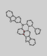 c1ccc(-c2cccc(N(c3ccccc3)c3ccc4c(c3)oc3ccccc34)c2-c2ccc3sc4ccccc4c3c2)cc1